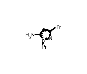 CC(C)c1cc(N)n(C(C)C)n1